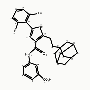 O=C(O)c1cccc(NC(=O)c2nc(-c3c(F)cccc3F)[nH]c2CCC23CC4CC(CC(C4)C2)C3)c1